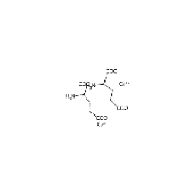 NC(CCC(=O)[O-])C(=O)[O-].NC(CCC(=O)[O-])C(=O)[O-].[Ca+2].[Ca+2]